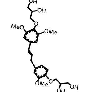 COc1cc(CC=Cc2cc(OC)c(OCC(O)CO)c(OC)c2)ccc1OCC(O)CO